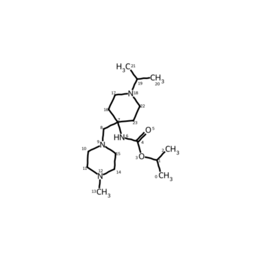 CC(C)OC(=O)NC1(CN2CCN(C)CC2)CCN(C(C)C)CC1